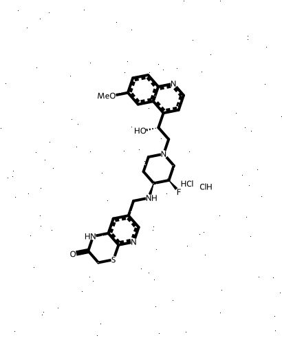 COc1ccc2nccc([C@@H](O)CN3CC[C@H](NCc4cnc5c(c4)NC(=O)CS5)[C@H](F)C3)c2c1.Cl.Cl